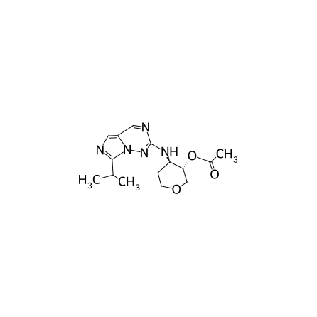 CC(=O)O[C@@H]1COCC[C@H]1Nc1ncc2cnc(C(C)C)n2n1